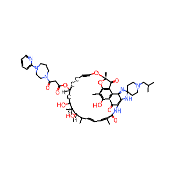 C/C1=C/C=C/C(C)[C@H](O)[C@@H](C)C(O)C[C@H](OC(=O)CC(=O)N2CCCN(c3ccccn3)CC2)CC/C=C/O[C@@]2(C)Oc3c(C)c(O)c4c(c3C2=O)C2=NC3(CCN(CC(C)C)CC3)NC2=C(NC1=O)C4=O